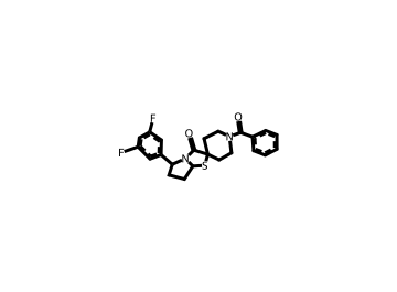 O=C(c1ccccc1)N1CCC2(CC1)SC1CCC(c3cc(F)cc(F)c3)N1C2=O